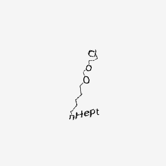 CCCCCCCCCCCCOCOCCCl